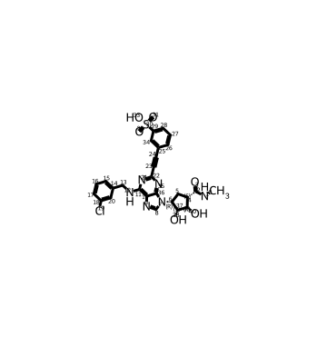 CNC(=O)[C@H]1C[C@@H](n2cnc3c(NCc4cccc(Cl)c4)nc(C#Cc4cccc(S(=O)(=O)O)c4)nc32)[C@H](O)[C@@H]1O